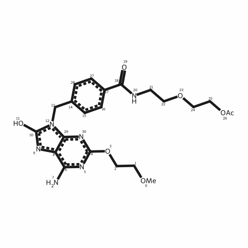 COCCOc1nc(N)c2nc(O)n(Cc3ccc(C(=O)NCCOCCOC(C)=O)cc3)c2n1